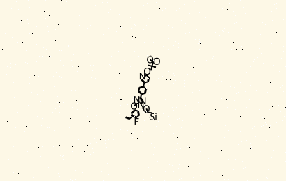 C=Cc1cc(Oc2nc(-c3ccc(-c4ccc(OCC(C)(C)C(=O)OC)nc4)cc3)nn2COCC[Si](C)(C)C)ccc1F